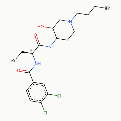 CC(C)CCCN1CCC(NC(=O)[C@H](CC(C)C)NC(=O)c2ccc(Cl)c(Cl)c2)C(O)C1